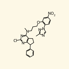 Cc1ncn(-c2ccc([N+](=O)[O-])cc2OCCCN(C)c2nc(Cl)nc3c2CCC3c2ccccc2)n1